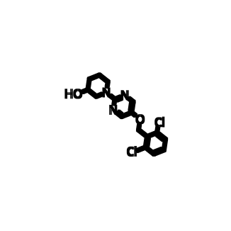 OC1CCCN(c2ncc(OCc3c(Cl)cccc3Cl)cn2)C1